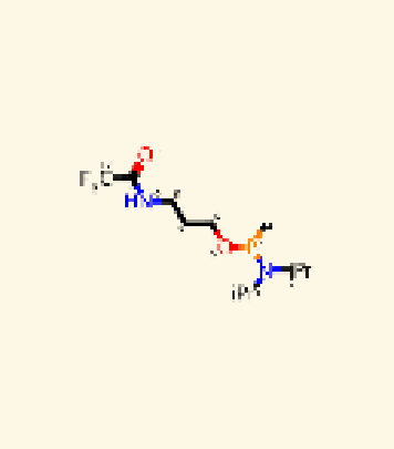 CC(C)N(C(C)C)P(C)OCCCNC(=O)C(F)(F)F